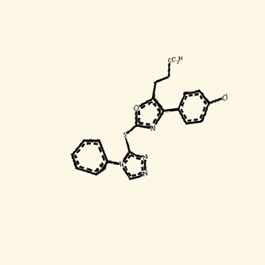 O=C(O)CCc1oc(Sc2nncn2-c2ccccc2)nc1-c1ccc(Cl)cc1